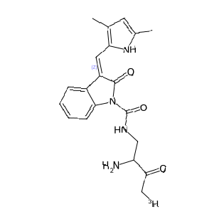 [3H]CC(=O)C(N)CNC(=O)N1C(=O)/C(=C\c2[nH]c(C)cc2C)c2ccccc21